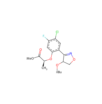 CCCCOC1CON=C1c1cc(Cl)c(F)cc1O[C@@H](C)C(=O)OC